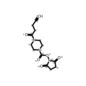 C#CCCC(=O)N1CCN(C(=O)ON2C(=O)CCC2=O)CC1